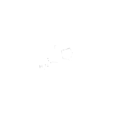 NNC[C@H]1OCC[C@H]1F